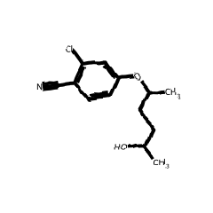 CC(O)CCC(C)Oc1ccc(C#N)c(Cl)c1